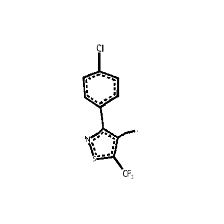 [CH2]c1c(-c2ccc(Cl)cc2)nsc1C(F)(F)F